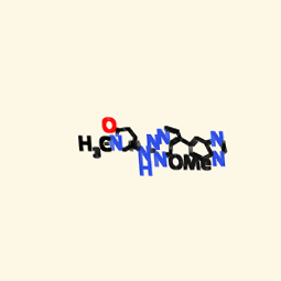 COc1nc(N[C@@H]2CCC(=O)N(C)C2)nn2ccc(-c3ccc4nccnc4c3)c12